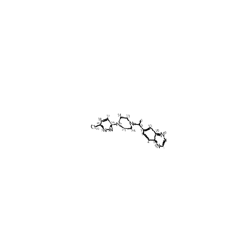 CC(c1ccc2nccnc2c1)N1CCN(c2ccc(Cl)nn2)CC1